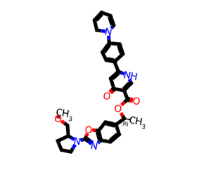 COCC1CCCN1c1nc2ccc([C@@H](C)OC(=O)c3c[nH]c(-c4ccc(N5C=CC=CC5)cc4)cc3=O)cc2o1